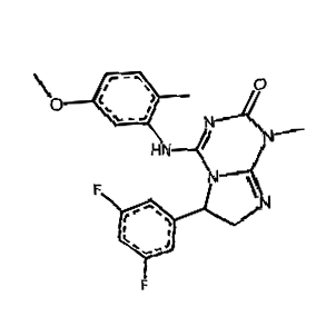 COc1ccc(C)c(NC2=NC(=O)N(C)C3=NCC(c4cc(F)cc(F)c4)N23)c1